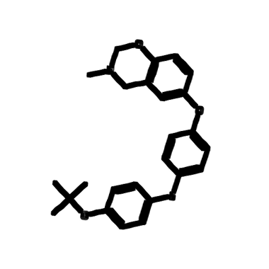 CN1COc2ccc(Oc3ccc(Sc4ccc(OC(C)(C)C)cc4)cc3)cc2C1